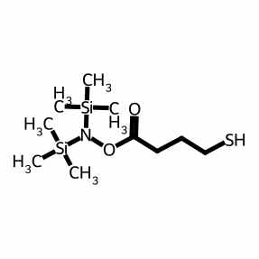 C[Si](C)(C)N(OC(=O)CCCS)[Si](C)(C)C